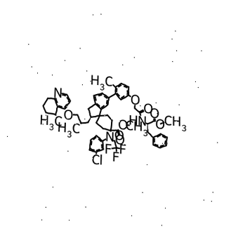 COC(=O)[C@@H](Cc1ccccc1)NC(=O)COc1ccc(C)c(-c2ccc3c(c2)C2(CCC(C(=O)OC)(N(C(=O)C(F)(F)F)c4cccc(Cl)c4)CC2)[C@@H](C[C@@H](C)COc2ccnc4c2[C@H](C)CCC4)C3)c1